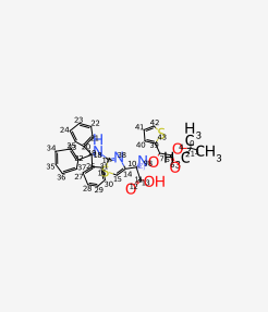 CC(C)(C)OC(=O)C(O/N=C(\C(=O)O)c1csc(NC(c2ccccc2)(c2ccccc2)c2ccccc2)n1)c1cccs1